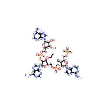 CCOC1C(OP(C)(=O)OC[C@H]2O[C@@H](n3cnc4c(N)ncnc43)C(O)C2O)[C@H](n2cnc3c(N)ncnc32)O[C@@H]1COP(C)(=O)OC1C(C)[C@@H](COP(C)(C)=O)O[C@H]1n1cnc2c(N)ncnc21